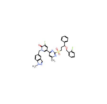 Cc1cc(-c2cc(F)c(=O)n(Cc3ccc4c(cnn4C)c3)c2)nc(S(=O)(=O)CCC(OCc2ccccc2F)c2ccccc2)n1